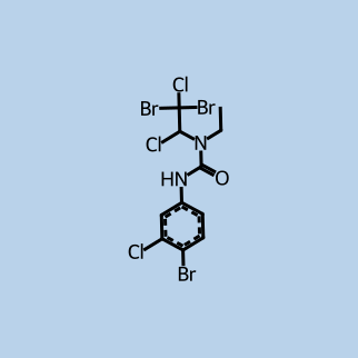 CCN(C(=O)Nc1ccc(Br)c(Cl)c1)C(Cl)C(Cl)(Br)Br